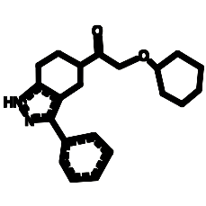 O=C(COC1CCCCC1)C1CCc2[nH]nc(-c3ccccc3)c2C1